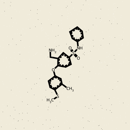 CSc1ccc(Oc2ccc(S(=O)(=O)Nc3ccccc3)cc2CN)cc1C